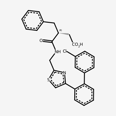 O=C(O)C[C@@H](Cc1ccccc1)C(=O)NCc1nc(-c2ccccc2-c2cccc(Cl)c2)cs1